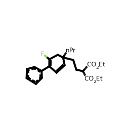 CCCC1(CCC(C(=O)OCC)C(=O)OCC)C=CC(c2ccccc2)=C(F)C1